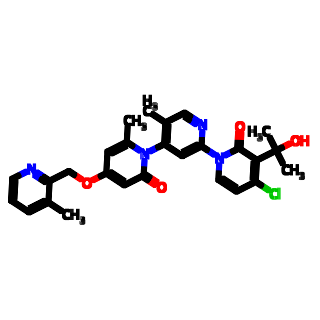 Cc1cnc(-n2ccc(Cl)c(C(C)(C)O)c2=O)cc1-n1c(C)cc(OCc2ncccc2C)cc1=O